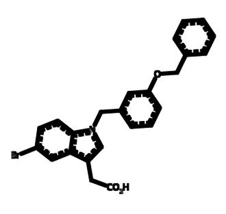 O=C(O)Cc1cn(Cc2cccc(OCc3ccccc3)c2)c2ccc(Br)cc12